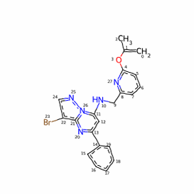 C=C(C)Oc1cccc(CNc2cc(-c3ccccc3)nc3c(Br)cnn23)n1